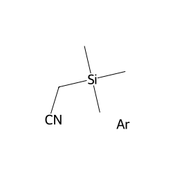 C[Si](C)(C)CC#N.[Ar]